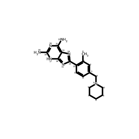 Cc1cc(CN2CCCCC2)ccc1-c1nc2[nH]c(N)nc(N)c-2n1